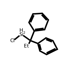 CCC([SiH2]Cl)(c1ccccc1)c1ccccc1